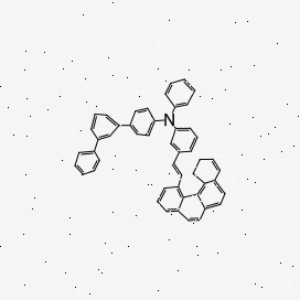 C1=Cc2ccc3ccc4cccc(C=Cc5cccc(N(c6ccccc6)c6ccc(-c7cccc(-c8ccccc8)c7)cc6)c5)c4c3c2CC1